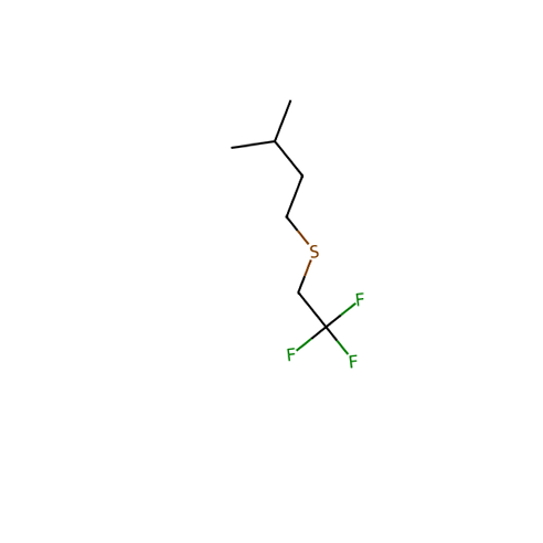 CC(C)CCSCC(F)(F)F